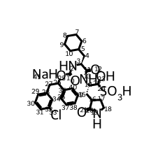 O=C(N[C@@H](CC1CCCCC1)C(=O)N[C@@H](CC1CCNC1=O)C(O)S(=O)(=O)O)OC(Cc1cccc(Cl)c1)c1ccccc1.[NaH]